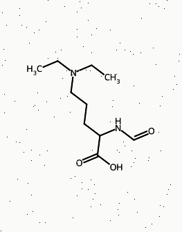 CCN(CC)CCCC(NC=O)C(=O)O